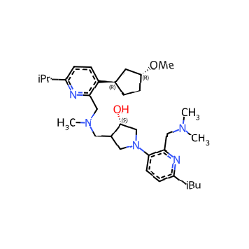 CCC(C)c1ccc(N2CC(CN(C)Cc3nc(C(C)C)ccc3[C@@H]3CC[C@@H](OC)C3)[C@H](O)C2)c(CN(C)C)n1